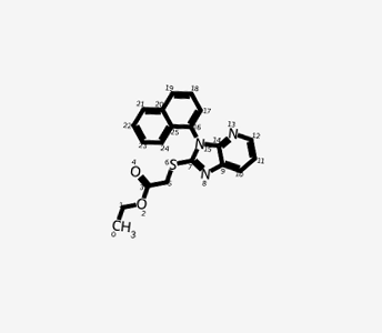 CCOC(=O)CSc1nc2cccnc2n1-c1cccc2ccccc12